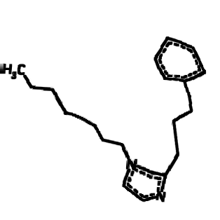 CCCCCCCn1ccnc1CCCc1ccccc1